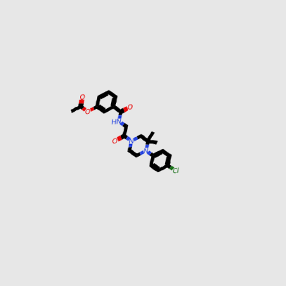 CC(=O)Oc1cccc(C(=O)NCC(=O)N2CCN(c3ccc(Cl)cc3)C(C)(C)C2)c1